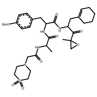 COc1ccc(CC(NC(=O)C(C)NC(=O)CN2CCS(=O)(=O)CC2)C(=O)NC(CC2=CCCCC2)C(=O)C2(C)CO2)cc1